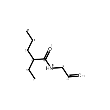 CCCC(CC)C(=O)NCC=O